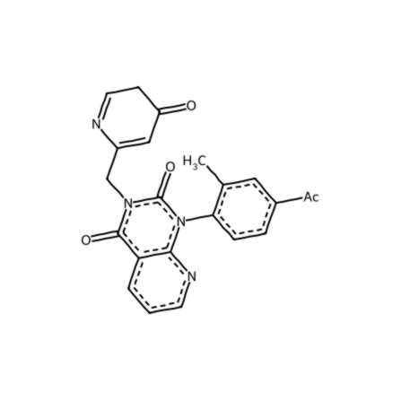 CC(=O)c1ccc(-n2c(=O)n(CC3=CC(=O)CC=N3)c(=O)c3cccnc32)c(C)c1